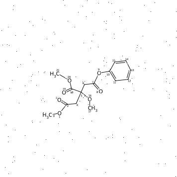 COC(=O)CC(CC(=O)Oc1ccccc1)(OC)C(=O)OC